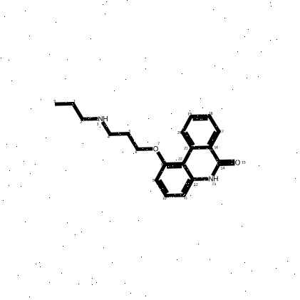 CCCNCCCOc1cccc2[nH]c(=O)c3ccccc3c12